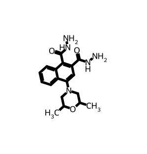 CC1CN(c2cc(C(=O)NN)c(C(=O)NN)c3ccccc23)CC(C)O1